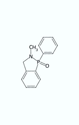 CN1Cc2ccccc2P1(=O)c1ccccc1